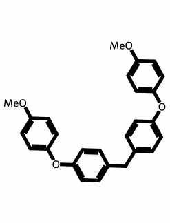 COc1ccc(Oc2ccc(Cc3ccc(Oc4ccc(OC)cc4)cc3)cc2)cc1